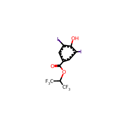 O=C(OC(C(F)(F)F)C(F)(F)F)c1cc(I)c(O)c(I)c1